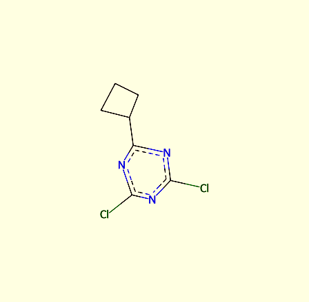 Clc1nc(Cl)nc(C2CCC2)n1